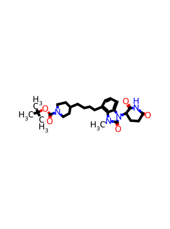 Cn1c(=O)n(C2CCC(=O)NC2=O)c2cccc(CCCCC3CCN(C(=O)OC(C)(C)C)CC3)c21